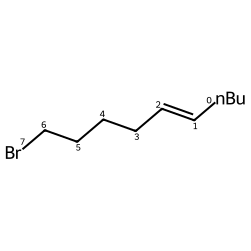 CCCCC=CCCCCBr